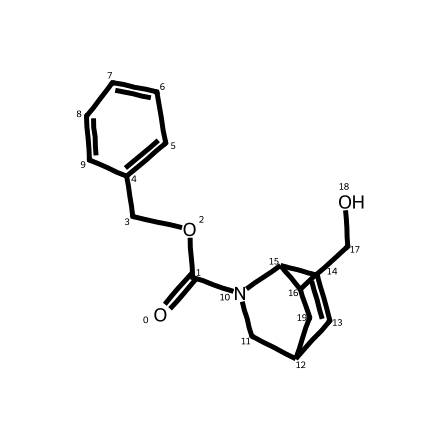 O=C(OCc1ccccc1)N1CC2C=CC1C(CO)C2